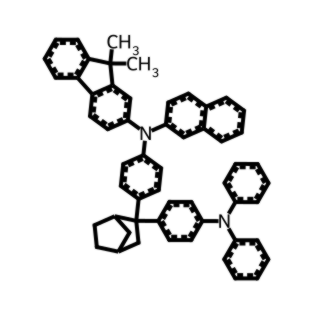 CC1(C)c2ccccc2-c2ccc(N(c3ccc(C4(c5ccc(N(c6ccccc6)c6ccccc6)cc5)CC5CCC4C5)cc3)c3ccc4ccccc4c3)cc21